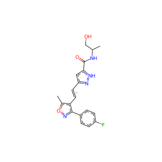 Cc1onc(-c2ccc(F)cc2)c1/C=C/c1cc(C(=O)NC(C)CO)[nH]n1